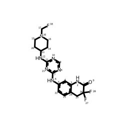 O=C1Nc2cc(Nc3ncnc(NC4CCN(CF)CC4)n3)ccc2CC1(F)F